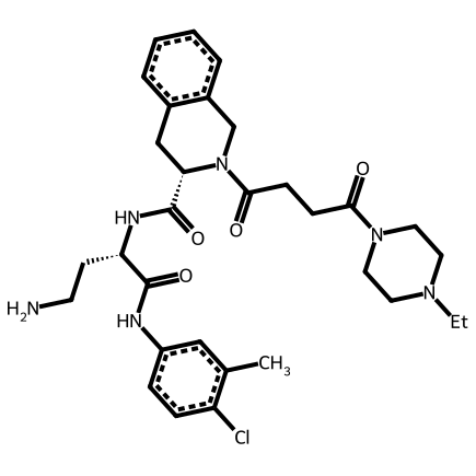 CCN1CCN(C(=O)CCC(=O)N2Cc3ccccc3C[C@H]2C(=O)N[C@@H](CCN)C(=O)Nc2ccc(Cl)c(C)c2)CC1